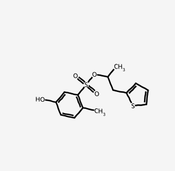 Cc1ccc(O)cc1S(=O)(=O)OC(C)Cc1cccs1